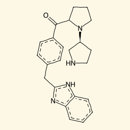 O=C(c1ccc(Cc2nc3ccccc3[nH]2)cc1)C1CCCN1[C@H]1CCNC1